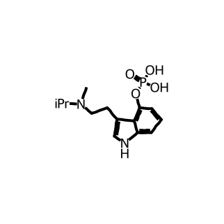 CC(C)N(C)CCc1c[nH]c2cccc(OP(=O)(O)O)c12